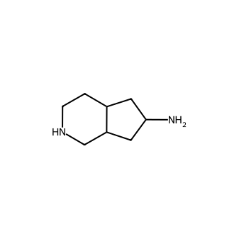 NC1CC2CCNCC2C1